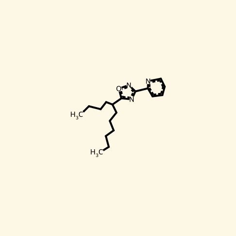 CCCCCCC(CCCC)c1nc(-c2ccccn2)no1